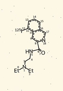 CCN(CC)CCNC(=O)c1cc2c([125I])cccc2cn1